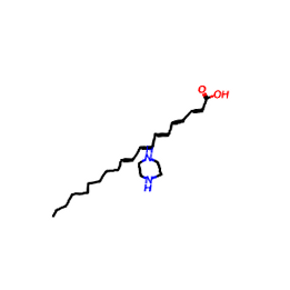 C1CNCCN1.CCCCCCCCC/C=C/C=C/C=C/C=C/C=C/C(=O)O